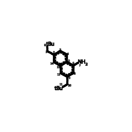 CC(C)(C)Cc1ccc2c(N)cc(CC(C)(C)C)cc2c1